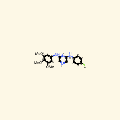 COc1cc(Nc2cncc(Nc3ccc(F)cc3)n2)cc(OC)c1OC